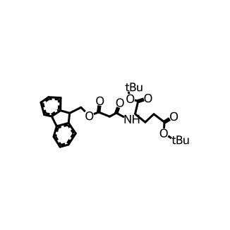 CC(C)(C)OC(=O)CCC(NC(=O)CC(=O)OCC1c2ccccc2-c2ccccc21)C(=O)OC(C)(C)C